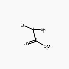 [CH2]CC(S)C(=O)OC